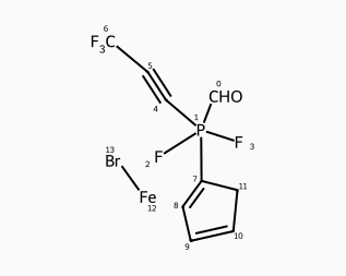 O=CP(F)(F)(C#CC(F)(F)F)C1=CC=CC1.[Fe][Br]